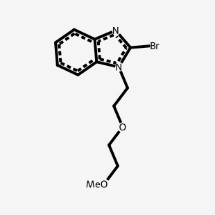 COCCOCCn1c(Br)nc2ccccc21